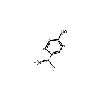 N[S+]([O-])c1ccc(N=O)cc1